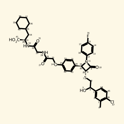 Cc1cc(C(O)CS[C@H]2C(=O)N(c3ccc(F)cc3)[C@@H]2c2ccc(OCC(=O)NCC(=O)N[C@H](CC3CCCCC3)C(=O)O)cc2)ccc1Cl